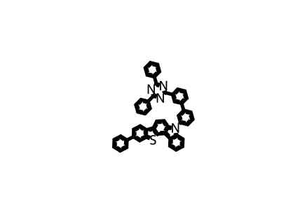 c1ccc(-c2ccc3c(c2)sc2c3ccc3c2c2ccccc2n3-c2cccc(-c3cccc(-c4nc(-c5ccccc5)nc(-c5ccccc5)n4)c3)c2)cc1